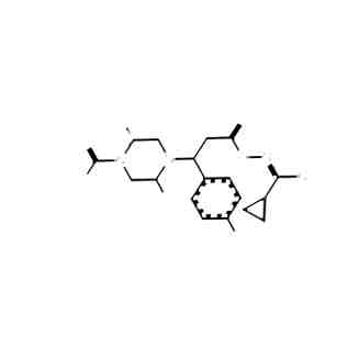 CC1CN(C(=O)O)[C@@H](C)CN1C(CC(=O)O/N=C(/N)C1CC1)c1ccc(F)cc1